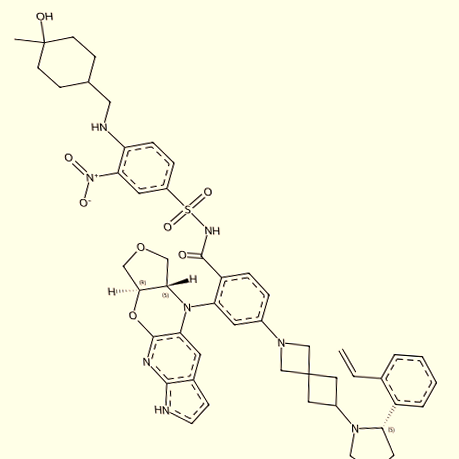 C=Cc1ccccc1[C@@H]1CCCN1C1CC2(C1)CN(c1ccc(C(=O)NS(=O)(=O)c3ccc(NCC4CCC(C)(O)CC4)c([N+](=O)[O-])c3)c(N3c4cc5cc[nH]c5nc4O[C@H]4COC[C@@H]43)c1)C2